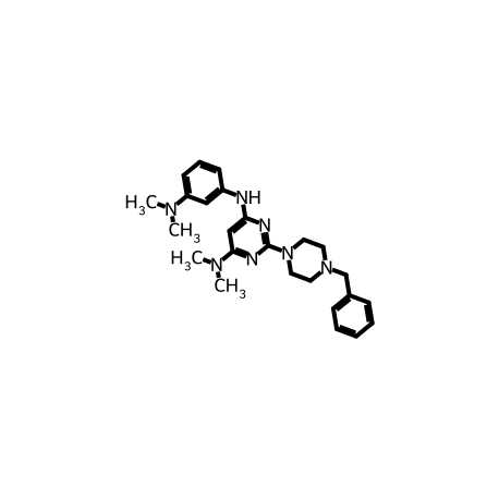 CN(C)c1cccc(Nc2cc(N(C)C)nc(N3CCN(Cc4ccccc4)CC3)n2)c1